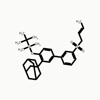 CC=CCS(=O)(=O)c1cccc(-c2ccc(O[Si](C)(C)C(C)(C)C)c(C34CC5CC(CC(C5)C3)C4)c2)c1